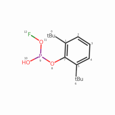 CC(C)(C)c1cccc(C(C)(C)C)c1OP(O)OF